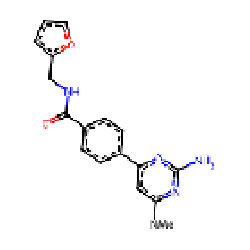 CNc1cc(-c2ccc(C(=O)NCc3ccco3)cc2)nc(N)n1